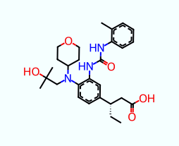 CC[C@@H](CC(=O)O)c1ccc(N(CC(C)(C)O)C2CCOCC2)c(NC(=O)Nc2ccccc2C)c1